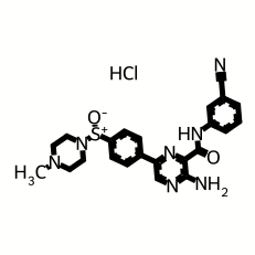 CN1CCN([S+]([O-])c2ccc(-c3cnc(N)c(C(=O)Nc4cccc(C#N)c4)n3)cc2)CC1.Cl